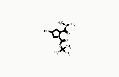 CN(C)C(=O)C1CC(O)CN1C(=O)OC(C)(C)C